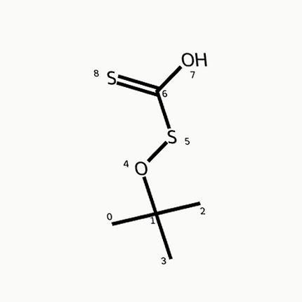 CC(C)(C)OSC(O)=S